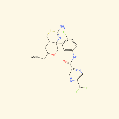 COCC1CC2CSC(N)=NC2(c2cc(NC(=O)c3cnc(C(F)F)cn3)ccc2F)CO1